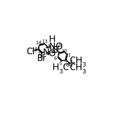 CC(C)(C)c1ccc(S(=O)(=O)Nc2ccc(Cl)c(Br)n2)cc1